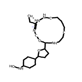 CC/C1=N/COC(C2CCC(C3CCC(NO)CC3)O2)NCCCCCCCNN1